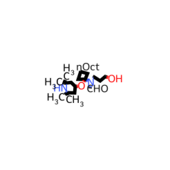 CCCCCCCCC1CC(OC2CC(C)(C)NC(C)(C)C2)(N(C=O)CCCO)C1